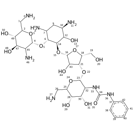 NCC1O[C@H](O[C@@H]2C(N)C[C@@H](N)C(O)[C@H]2O[C@@H]2O[C@H](CO)[C@H](O[C@H]3OC(CN)[C@@H](O)[C@@H](O)C3NC(=O)Nc3ccccc3)C2O)C(N)[C@@H](O)[C@@H]1O